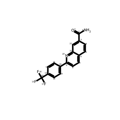 NC(=O)c1ccc2ccc(-c3ccc(C(F)(F)F)cc3)nc2c1